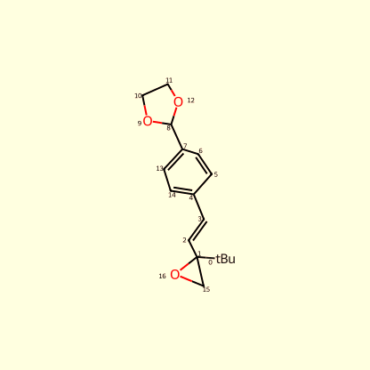 CC(C)(C)C1(C=Cc2ccc(C3OCCO3)cc2)CO1